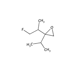 CC(C)C1(C(C)CF)CO1